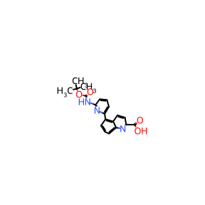 CC(C)(C)OC(=O)Nc1cccc(-c2cccc3nc(C(=O)O)ccc23)n1